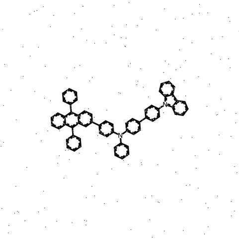 c1ccc(-c2c3ccccc3c(-c3ccccc3)c3cc(-c4ccc(N(c5ccccc5)c5ccc(-c6ccc(-n7c8ccccc8c8ccccc87)cc6)cc5)cc4)ccc23)cc1